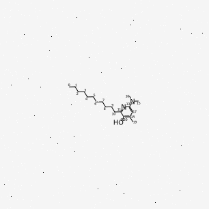 CCCCCCCCCCCc1nc(N(C)C)cc(C)c1O